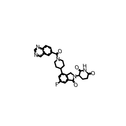 O=C1CCC(N2Cc3c(cc(F)cc3C3CCN(C(=O)c4ccc5ncncc5c4)CC3)C2=O)C(=O)N1